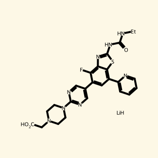 CCNC(=O)Nc1nc2c(F)c(-c3cnc(N4CCN(CC(=O)O)CC4)nc3)cc(-c3ccccn3)c2s1.[LiH]